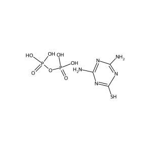 Nc1nc(N)nc(S)n1.O=P(O)(O)OP(=O)(O)O